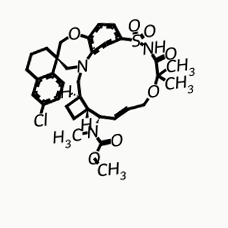 COC(=O)N(C)[C@H]1/C=C/COC(C)(C)C(=O)NS(=O)(=O)c2ccc3c(c2)N(C[C@@H]2CC[C@H]21)C[C@@]1(CCCc2cc(Cl)ccc21)CO3